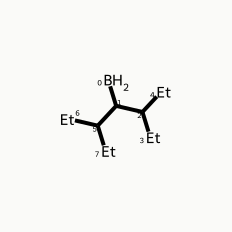 BC(C(CC)CC)C(CC)CC